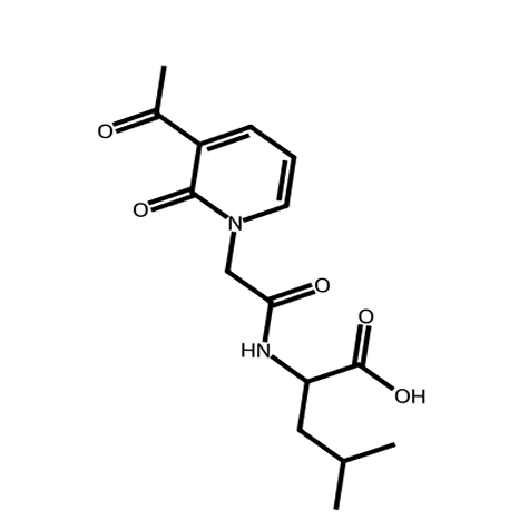 CC(=O)c1cccn(CC(=O)NC(CC(C)C)C(=O)O)c1=O